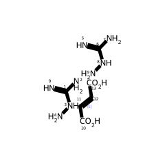 N=C(N)NN.N=C(N)NN.O=C(O)/C=C/C(=O)O